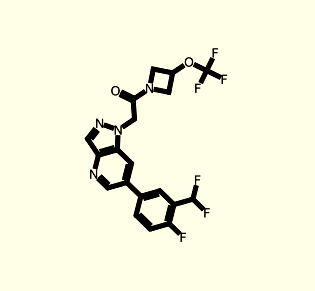 O=C(Cn1ncc2ncc(-c3ccc(F)c(C(F)F)c3)cc21)N1CC(OC(F)(F)F)C1